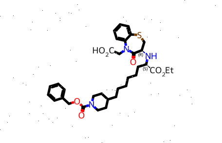 CCOC(=O)[C@H](CCCCCCC1CCN(C(=O)OCc2ccccc2)CC1)N[C@H]1CSc2ccccc2N(CC(=O)O)C1=O